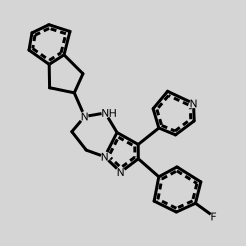 Fc1ccc(-c2nn3c(c2-c2ccncc2)NN(C2Cc4ccccc4C2)CC3)cc1